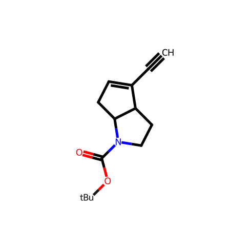 C#CC1=CCC2C1CCN2C(=O)OC(C)(C)C